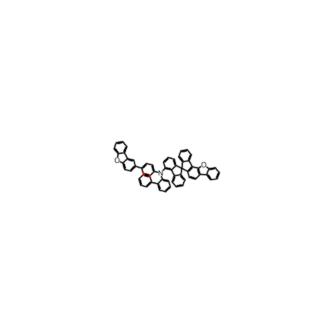 c1ccc(-c2ccccc2N(c2ccc(-c3ccc4oc5ccccc5c4c3)cc2)c2cccc3c2-c2ccccc2C32c3ccccc3-c3c2ccc2c3oc3ccccc32)cc1